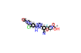 C[C@H](O)C(=O)N1CC[C@H](Oc2ccc(-c3ncnc(Nc4ccc(N5CCN(C6COC6)CC5)c(Cl)c4)n3)cc2C#N)[C@@H](F)C1